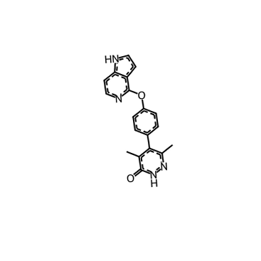 Cc1n[nH]c(=O)c(C)c1-c1ccc(Oc2nccc3[nH]ccc23)cc1